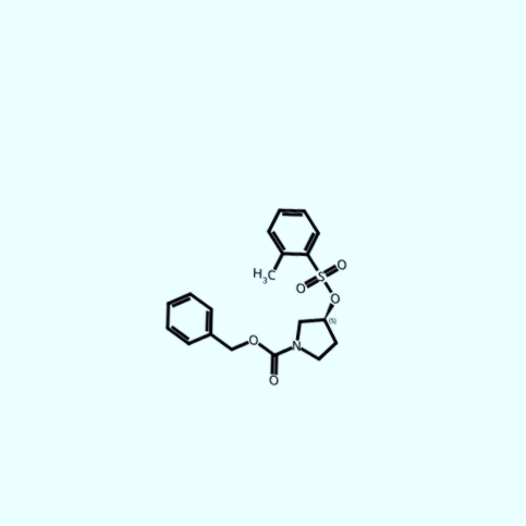 Cc1ccccc1S(=O)(=O)O[C@H]1CCN(C(=O)OCc2ccccc2)C1